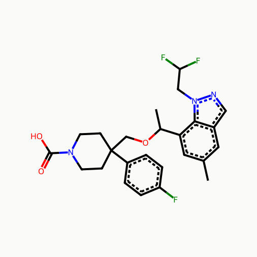 Cc1cc(C(C)OCC2(c3ccc(F)cc3)CCN(C(=O)O)CC2)c2c(cnn2CC(F)F)c1